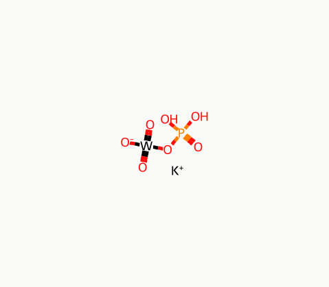 O=P(O)(O)[O][W](=[O])(=[O])[O-].[K+]